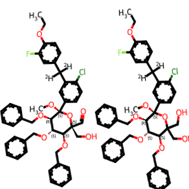 [2H]C([2H])(c1ccc(OCC)c(F)c1)c1cc([C@]2(OC)OC(CO)(CO)[C@@H](OCc3ccccc3)[C@H](OCc3ccccc3)[C@H]2OCc2ccccc2)ccc1Cl.[2H]C([2H])(c1ccc(OCC)c(F)c1)c1cc([C@]2(OC)O[C@@](C=O)(CO)[C@@H](OCc3ccccc3)[C@H](OCc3ccccc3)[C@H]2OCc2ccccc2)ccc1Cl